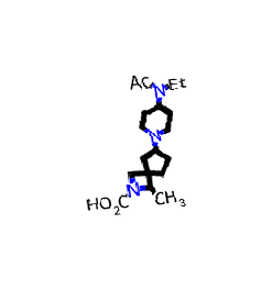 CCN(C(C)=O)C1CCN(C2CCC3(C2)CN(C(=O)O)C3C)CC1